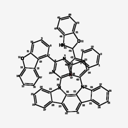 c1ccc(-c2nc(-c3cccc4oc5ccccc5c34)nc(-n3c4ccccc4c4ccc5c6ccccc6n(-c6ccc(C7Nc8ccccc8O7)cc6)c5c43)n2)cc1